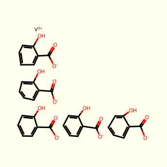 O=C([O-])c1ccccc1O.O=C([O-])c1ccccc1O.O=C([O-])c1ccccc1O.O=C([O-])c1ccccc1O.O=C([O-])c1ccccc1O.[V+5]